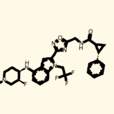 CN1CC[C@@H](Nc2cccc3c2cc(-c2noc(CNC(=O)C4C[C@@H]4c4ccccc4)n2)n3CC(F)(F)F)[C@@H](F)C1